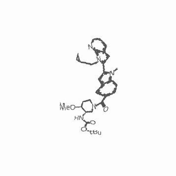 CO[C@H]1CCN(C(=O)c2ccc3c(c2)cc(-c2cc4cccnc4n2CC2CC2)n3C)C[C@H]1NC(=O)OC(C)(C)C